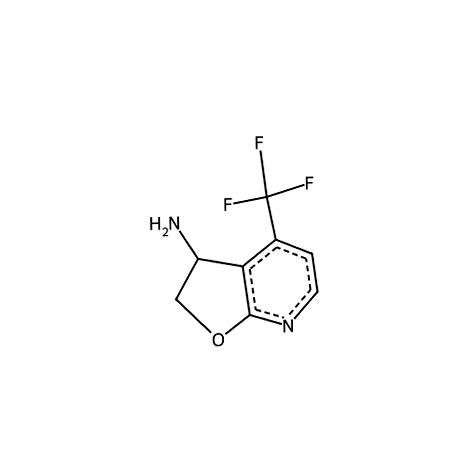 NC1COc2nccc(C(F)(F)F)c21